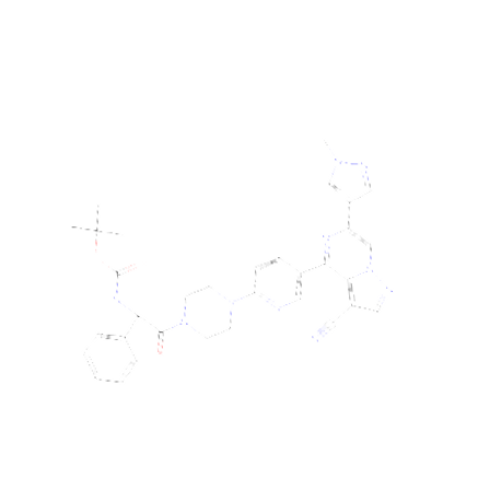 Cn1cc(-c2cn3ncc(C#N)c3c(-c3ccc(N4CCN(C(=O)[C@](C)(NC(=O)OC(C)(C)C)c5ccccc5)CC4)nc3)n2)cn1